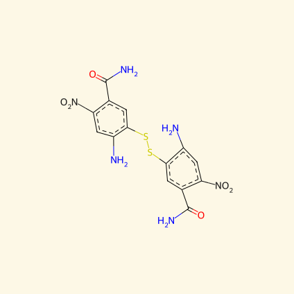 NC(=O)c1cc(SSc2cc(C(N)=O)c([N+](=O)[O-])cc2N)c(N)cc1[N+](=O)[O-]